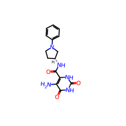 Nc1c(C(=O)N[C@@H]2CCN(c3ccccc3)C2)[nH]c(=O)[nH]c1=O